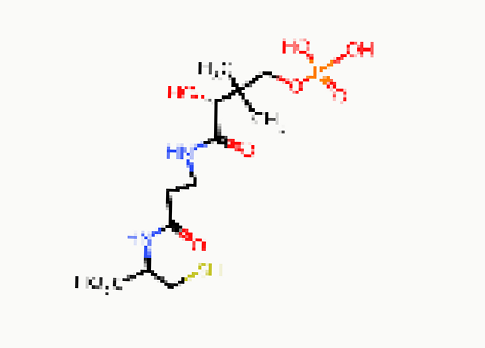 CC(C)(COP(=O)(O)O)[C@@H](O)C(=O)NCCC(=O)NC(CS)C(=O)O